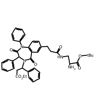 CCOC(=O)CC(c1ccccc1)N1C(=O)c2cc(CCC(=O)NCC(N)C(=O)OC(C)(C)C)ccc2N(c2ccccc2)C(=O)C1c1ccccc1